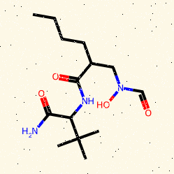 CCCCC(CN(O)C=O)C(=O)NC(C(N)=O)C(C)(C)C